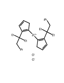 CCC(CC)(CC(C)C)C1=[C]([Zr+2][C]2=C(C(CC)(CC)CC(C)C)C=CC2)CC=C1.[Cl-].[Cl-]